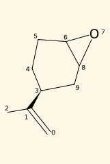 C=C(C)[C@H]1CCC2OC2C1